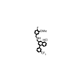 COc1cc(CNCc2cc(-c3cccc(C(F)(F)F)c3)c3ccccc3c2)ccc1F.Cl